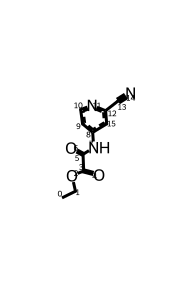 CCOC(=O)C(=O)Nc1ccnc(C#N)c1